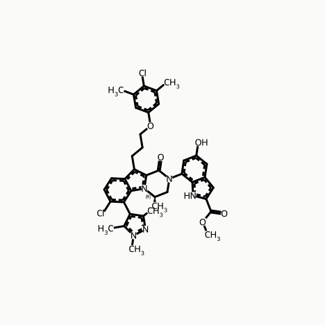 COC(=O)c1cc2cc(O)cc(N3C[C@@H](C)n4c(c(CCCOc5cc(C)c(Cl)c(C)c5)c5ccc(Cl)c(-c6c(C)nn(C)c6C)c54)C3=O)c2[nH]1